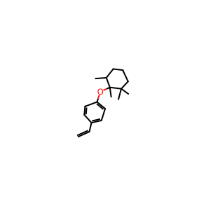 C=Cc1ccc(OC2(C)C(C)CCCC2(C)C)cc1